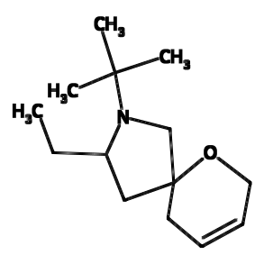 CCC1CC2(CC=CCO2)CN1C(C)(C)C